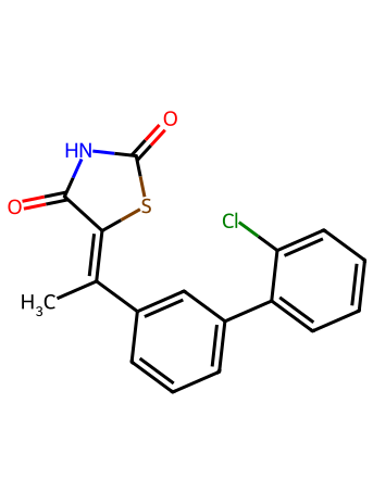 C/C(=C1/SC(=O)NC1=O)c1cccc(-c2ccccc2Cl)c1